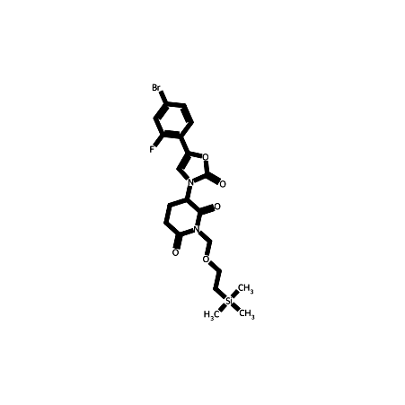 C[Si](C)(C)CCOCN1C(=O)CCC(n2cc(-c3ccc(Br)cc3F)oc2=O)C1=O